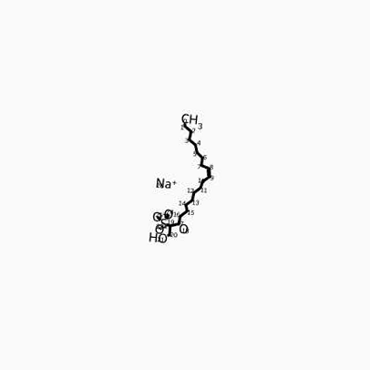 CCCCCCCC/C=C\CCCCCCCC(=O)C(CO)S(=O)(=O)[O-].[Na+]